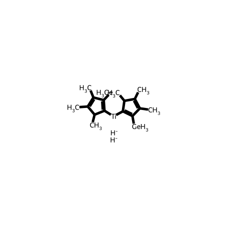 CC1=C(C)C(C)[C]([Ti][C]2=[C]([GeH3])C(C)=C(C)C2C)=[C]1[GeH3].[H-].[H-]